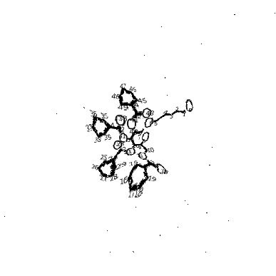 O=CCCCCO[C@H]1OC(COC(=O)c2ccccc2)[C@@H](OC(=O)c2ccccc2)C(OC(=O)c2ccccc2)[C@H]1OC(=O)c1ccccc1